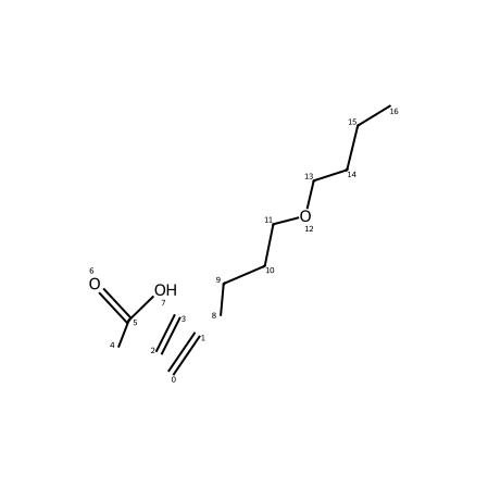 C=C.C=C.CC(=O)O.CCCCOCCCC